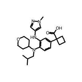 CC(C)CN(c1ccc(C2(C(=O)O)CCC2)cc1Nc1cnn(C)c1)C1CCOCC1